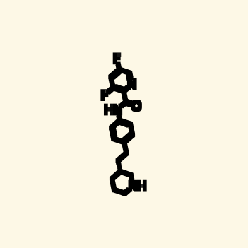 O=C(Nc1ccc(CC[C@@H]2CCCNC2)cc1)c1ncc(F)cc1F